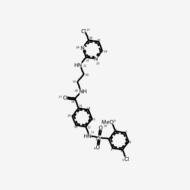 COc1ccc(Cl)cc1S(=O)(=O)Nc1ccc(C(=O)NCCNc2nccc(Cl)n2)cc1